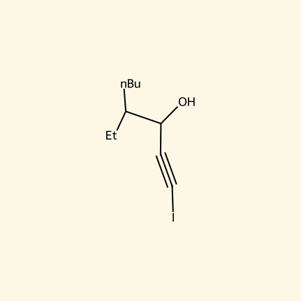 CCCCC(CC)C(O)C#CI